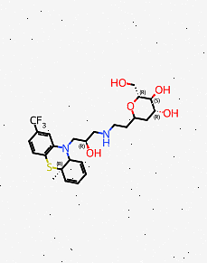 C[C@@]12C=CC=CC1N(C[C@H](O)CNCCC1C[C@@H](O)[C@H](O)[C@@H](CO)O1)c1cc(C(F)(F)F)ccc1S2